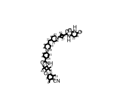 Cc1cc(O[C@H]2C(C)(C)[C@H](NC(=O)c3ccc(N4CCC(CC5CCN(C67CC(C(=O)NC8CCC(=O)NC8=O)(C6)C7)CC5)CC4)cc3)C2(C)C)cc(C)c1C#N